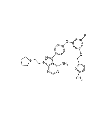 Cc1ccc(COc2cc(F)cc(Oc3ccc(-c4nn(CCN5CCCC5)c5ncnc(N)c45)cc3)c2)s1